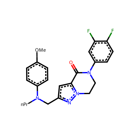 CCCN(Cc1cc2n(n1)CCN(c1ccc(F)c(F)c1)C2=O)c1ccc(OC)cc1